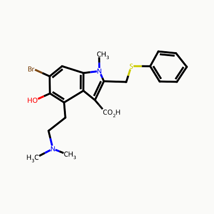 CN(C)CCc1c(O)c(Br)cc2c1c(C(=O)O)c(CSc1ccccc1)n2C